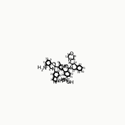 Cc1c(C(=O)N(Cc2ccccc2N)c2ccc3[nH]ncc3c2)cc(-c2cc([NH+]([O-])O)ccc2C(=O)N2Cc3ccccc3C[C@H]2CN2CCOCC2)n1C